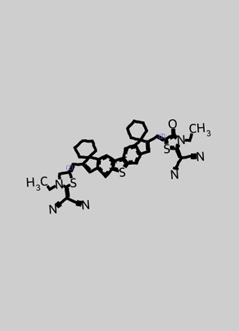 CCN1C/C(=C/C2=Cc3cc4sc5cc6c(cc5c4cc3C23CCCCC3)C2(CCCCC2)C(/C=c2\sc(=C(C#N)C#N)n(CC)c2=O)=C6)SC1=C(C#N)C#N